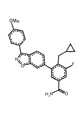 COc1ccc(-c2noc3cc(-c4cc(C(N)=O)cc(F)c4CC4CC4)ccc23)cc1